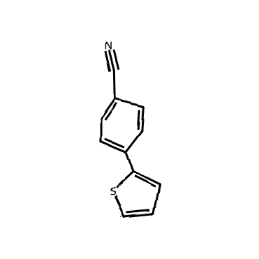 N#Cc1ccc(-c2cc[c]s2)cc1